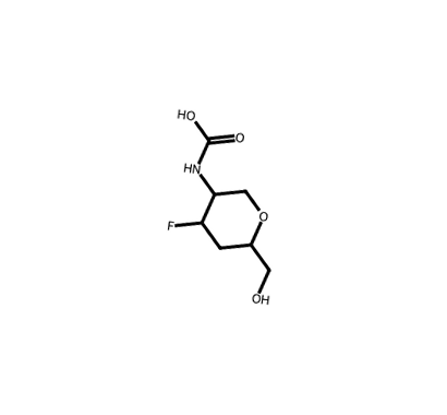 O=C(O)NC1COC(CO)CC1F